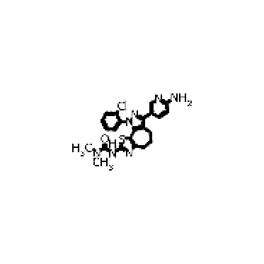 CN(C)C(=O)Nc1nc2c(s1)-c1c(c(-c3ccc(N)nc3)nn1-c1ccccc1Cl)CCC2